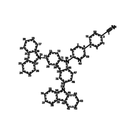 N#Cc1ccc(-c2ccc(-n3c4ccc(-n5c6ccccc6c6ccccc65)cc4c4cc(-n5c6ccccc6c6ccccc65)ccc43)nc2)cc1